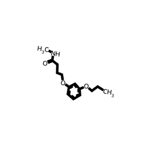 CCCOc1cccc(OCCCC(=O)NC)c1